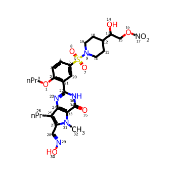 CCCOc1ccc(S(=O)(=O)N2CCC(C(O)CO[N+](=O)[O-])CC2)cc1-c1nc2c(CCC)c(/C=N/O)n(C)c2c(=O)[nH]1